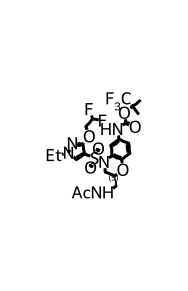 CCn1cc(S(=O)(=O)N2C[C@H](CNC(C)=O)Oc3ccc(NC(=O)OC(C)(C)C(F)(F)F)cc32)c(OCC(F)F)n1